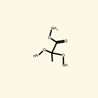 CCCOC(C)(OCCC)C(=O)O[SiH3]